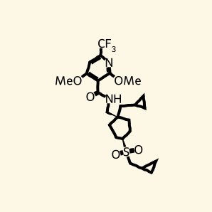 COc1cc(C(F)(F)F)nc(OC)c1C(=O)NC[C@]1(CC2CC2)CC[C@H](S(=O)(=O)CC2CC2)CC1